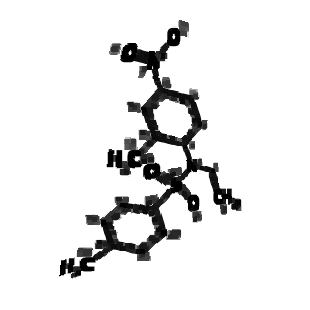 C=CN(c1ccc([N+](=O)[O-])cc1C)S(=O)(=O)c1ccc(C)cc1